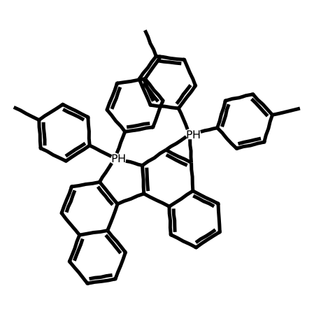 Cc1ccc([PH]2(c3ccc(C)cc3)c3ccc4ccccc4c3-c3c2c2c(c4ccccc34)[PH]2(c2ccc(C)cc2)c2ccc(C)cc2)cc1